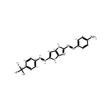 Nc1ccc(N=Nc2nc3sc(N=Nc4ccc(C(F)(F)F)cc4)cc3s2)cc1